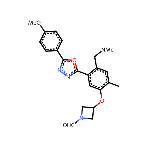 CNCc1cc(C)c(OC2CN(C=O)C2)cc1-c1nnc(-c2ccc(OC)cc2)o1